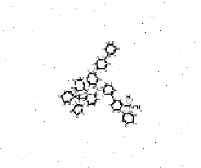 CC1(C)C2=CC(c3cccc(N(c4cccc(-c5ccc(-c6ccccc6)cc5)c4)c4cccc5c4-c4ccccc4C5(c4ccccc4)c4ccccc4)c3)=CCC2c2ccccc21